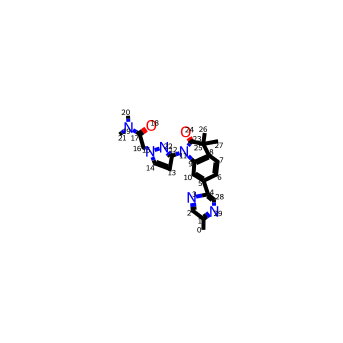 Cc1cnc(-c2ccc3c(c2)N(c2ccn(CC(=O)N(C)C)n2)C(=O)C3(C)C)cn1